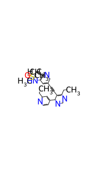 CCc1cc(-c2ncnc(CC)c2C#Cc2cnc(C)c(NS(C)(C)(C)=O)c2)ccn1